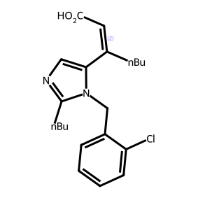 CCCC/C(=C/C(=O)O)c1cnc(CCCC)n1Cc1ccccc1Cl